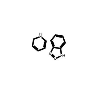 C1=CCNC=C1.c1ccc2[nH]nnc2c1